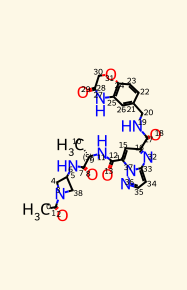 CC(=O)N1CC(NC(=O)[C@H](C)NC(=O)c2cc(C(=O)NCc3ccc4c(c3)NC(=O)CO4)nc3ccnn23)C1